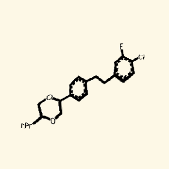 CCCC1COC(c2ccc(CCc3ccc(Cl)c(F)c3)cc2)CO1